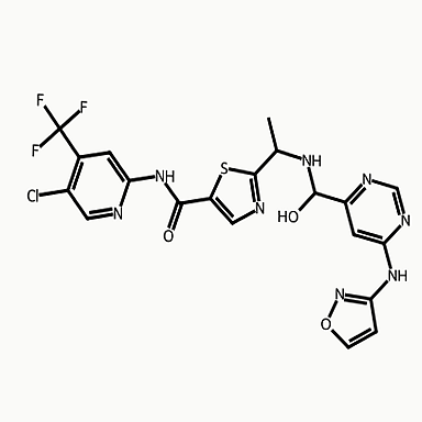 CC(NC(O)c1cc(Nc2ccon2)ncn1)c1ncc(C(=O)Nc2cc(C(F)(F)F)c(Cl)cn2)s1